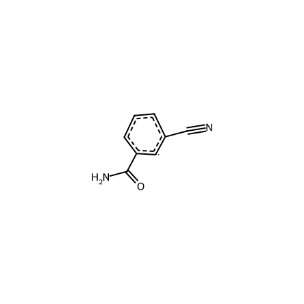 N#Cc1[c]c(C(N)=O)ccc1